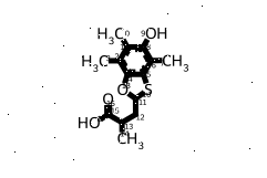 Cc1c(C)c2c(c(C)c1O)SC(CC(C)C(=O)O)O2